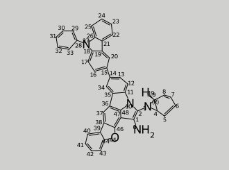 Nc1c(N2C3C=CC=C[C@H]32)n2c3ccc(-c4ccc5c(c4)c4ccccc4n5-c4ccccc4)cc3c3cc4c5ccccc5oc4c1c32